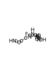 O[C@@H]1CO[C@H]2[C@@H]1OC[C@H]2Oc1cc2nc(-c3ccc(-c4ccc(OC5CCNCC5)cc4)cc3)c(F)cc2[nH]1